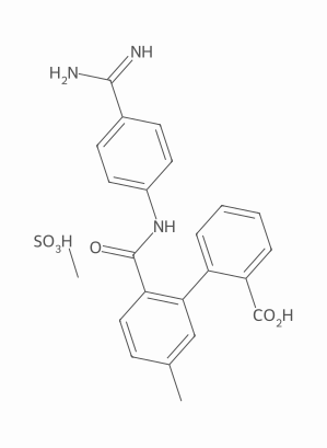 CS(=O)(=O)O.Cc1ccc(C(=O)Nc2ccc(C(=N)N)cc2)c(-c2ccccc2C(=O)O)c1